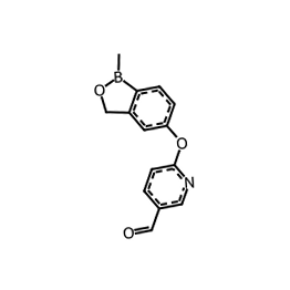 CB1OCc2cc(Oc3ccc(C=O)cn3)ccc21